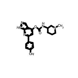 CN1CCCC(NC(=O)Oc2cc(-c3ccc(O)cc3)nc3[nH]ncc23)C1